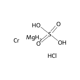 Cl.O=S(=O)(O)O.[Cr].[MgH2]